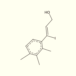 Cc1ccc(C(I)=CCO)c(C)c1C